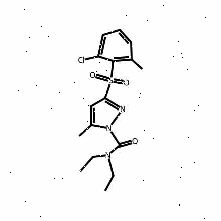 CCN(CC)C(=O)n1nc(S(=O)(=O)c2c(C)cccc2Cl)cc1C